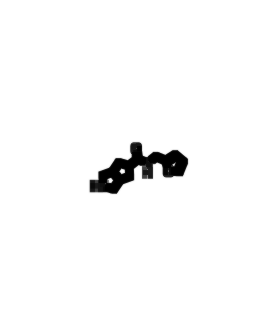 O=C(NCc1ccco1)C1CC2CNCC2C1